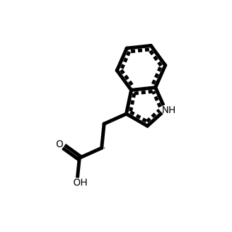 O=C(O)[CH]Cc1c[nH]c2ccccc12